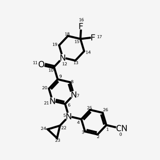 N#Cc1ccc(N(c2ncc(C(=O)N3CCC(F)(F)CC3)cn2)C2CC2)cc1